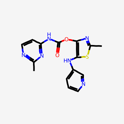 Cc1nccc(NC(=O)Oc2nc(C)sc2Nc2cccnc2)n1